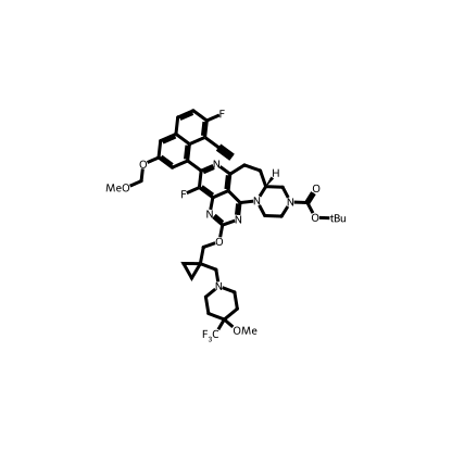 C#Cc1c(F)ccc2cc(OCOC)cc(-c3nc4c5c(nc(OCC6(CN7CCC(OC)(C(F)(F)F)CC7)CC6)nc5c3F)N3CCN(C(=O)OC(C)(C)C)C[C@H]3CC4)c12